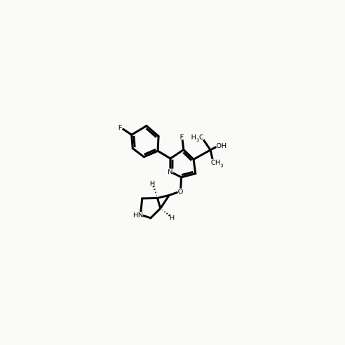 CC(C)(O)c1cc(OC2[C@H]3CNC[C@@H]23)nc(-c2ccc(F)cc2)c1F